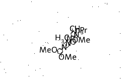 CCCc1nc(OC)c(N(C)C(=O)N2CCN(c3cc(OC)cc(OC)c3)CC2)cc1C